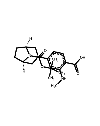 CNc1cc(N2C[C@H]3CC[C@@H](C2)N3C(=O)OC(C)(C)C)ccc1C(=O)O